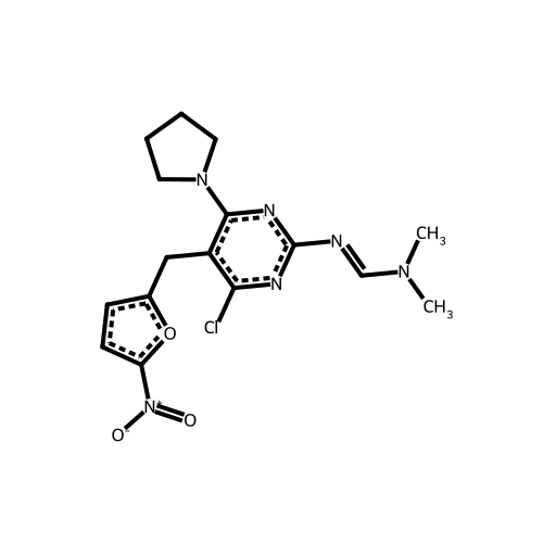 CN(C)C=Nc1nc(Cl)c(Cc2ccc([N+](=O)[O-])o2)c(N2CCCC2)n1